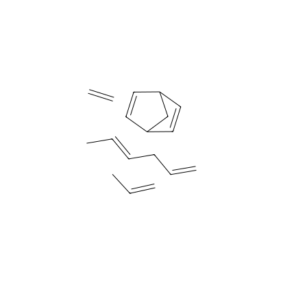 C1=CC2C=CC1C2.C=C.C=CC.C=CC/C=C/C